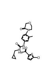 Cc1cc(NC(=O)N(CC2CC2)NC(=O)c2ccc(Cl)s2)ccc1N1CCOCC1=O